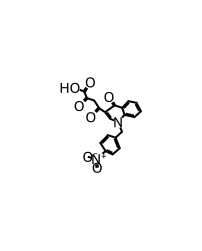 O=C(O)C(=O)CC(=O)c1cn(Cc2ccc([N+](=O)[O-])cc2)c2ccccc2c1=O